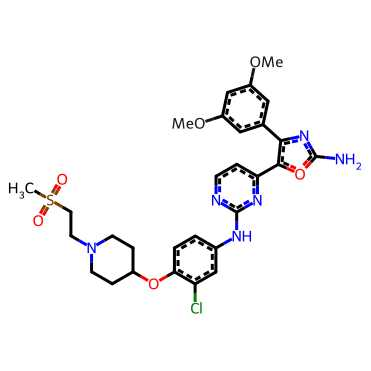 COc1cc(OC)cc(-c2nc(N)oc2-c2ccnc(Nc3ccc(OC4CCN(CCS(C)(=O)=O)CC4)c(Cl)c3)n2)c1